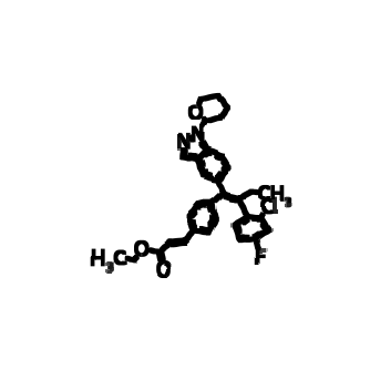 CCOC(=O)/C=C/c1ccc(/C(=C(/CC)c2ccc(F)cc2Cl)c2ccc3c(cnn3C3CCCCO3)c2)cc1